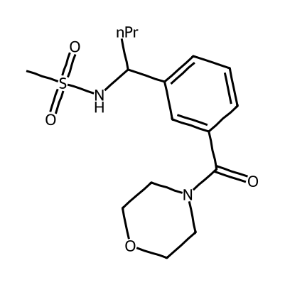 [CH2]CCC(NS(C)(=O)=O)c1cccc(C(=O)N2CCOCC2)c1